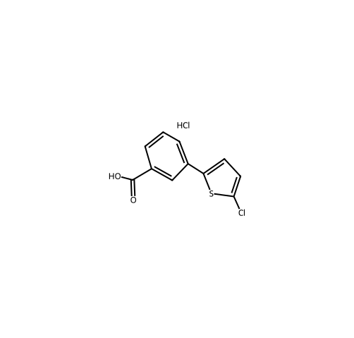 Cl.O=C(O)c1cccc(-c2ccc(Cl)s2)c1